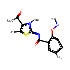 CCCCn1c(C(=O)OC)c(C(C)C)s/c1=N\C(=O)c1cc(C(F)(F)F)ccc1ONC(C)(C)C